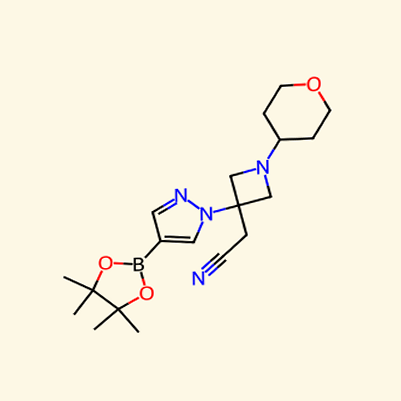 CC1(C)OB(c2cnn(C3(CC#N)CN(C4CCOCC4)C3)c2)OC1(C)C